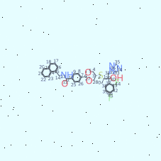 C[C@@H](S[C@H]1CO[C@H](c2ccc(C(=O)NCc3cccc4ccccc34)cc2)OC1)[C@](O)(Cn1cncn1)c1ccc(F)cc1F